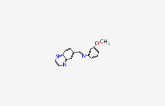 COc1cccc(N=Cc2ccc3nccnc3c2)c1